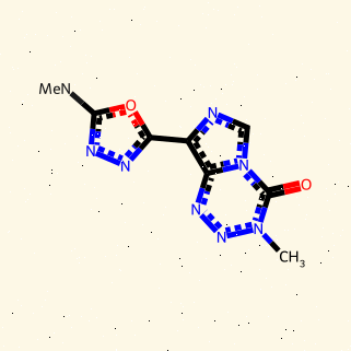 CNc1nnc(-c2ncn3c(=O)n(C)nnc23)o1